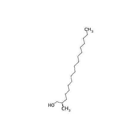 CCCCCCCCCCCCCCCC[C@@H](C)CO